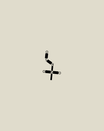 CS(=O)(=O)N=S=O